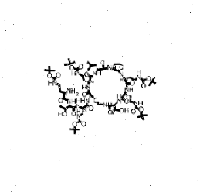 CC[C@@H]1NC(=O)[C@@H](CC(C)C)NC(=O)[C@@H](CCNC(=O)OC(C)(C)C)NC(=O)[C@@H](NC(=O)[C@H](CNC(=O)OC(C)(C)C)NC(=O)[C@@H](NC(=O)[C@@H](N)CCNC(=O)OC(C)(C)C)C(C)O)CCNC(=O)[C@H]([C@H](C)O)NC(=O)[C@H](CCNC(=O)OC(C)(C)C)NC(=O)[C@H](CCNC(=O)OC(C)(C)C)NC1=O